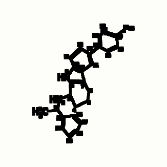 CC(NC1CCCc2c1[nH]c1ccc(-c3ccc(F)nc3)cc21)c1ccccc1